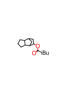 CCC(C)C(=O)OC1CC2CC1C1CCCC21